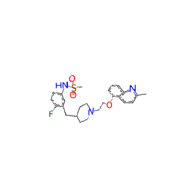 Cc1ccc2c(OCCN3CCC(Cc4cc(NS(C)(=O)=O)ccc4F)CC3)cccc2n1